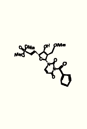 COC[C@@H]1[C@H](O)[C@@H](/C=C/P(=O)(OC)OC)O[C@H]1n1ccc(=O)n(C(=O)c2ccccc2)c1=O